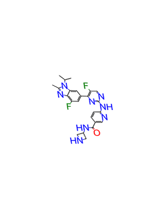 Cc1nc2c(F)cc(-c3nc(Nc4ccc(C(=O)NC5CNC5)cn4)ncc3F)cc2n1C(C)C